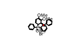 COC1=C(OC)C(=Cc2ccccc2)C([P+](OC)(c2ccccc2)c2ccccc2)C=C1.[Br-]